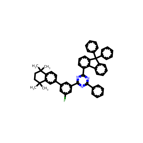 CC1(C)CCC(C)(C)c2cc(-c3cc(F)cc(-c4nc(-c5ccccc5)nc(-c5cccc6c5-c5ccccc5C6(c5ccccc5)c5ccccc5)n4)c3)ccc21